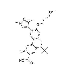 COCCCOc1cc2c(cc1-c1cn(C)nc1C)-c1cc(=O)c(C(=O)O)cn1C(C(C)(C)C)C2